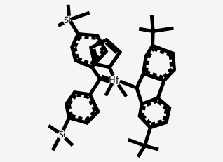 CC(C)(C)c1ccc2c(c1)[CH]([Hf]([CH3])([CH3])(=[C](c1ccc([Si](C)(C)C)cc1)c1ccc([Si](C)(C)C)cc1)[CH]1C=CC=C1)c1cc(C(C)(C)C)ccc1-2